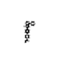 C=CC(=O)N1CCN(c2ccc(-c3cc4c(N5CCOCC5)ncnc4[nH]3)cc2)CC1